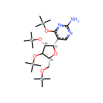 C[Si](C)(C)OC[C@H]1O[C@@H](c2cnc(N)nc2O[Si](C)(C)C)[C@@H](O[Si](C)(C)C)C1O[Si](C)(C)C